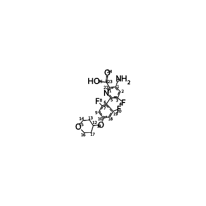 Nc1cc(F)c(-c2c(F)cc(OC3CCOCC3)cc2F)nc1C(=O)O